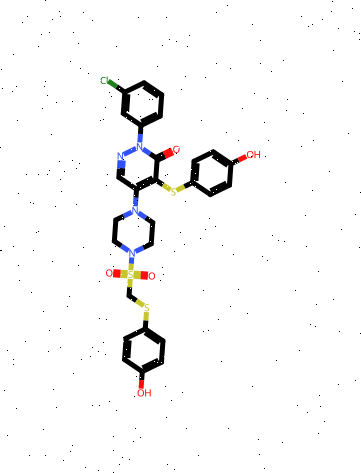 O=c1c(Sc2ccc(O)cc2)c(N2CCN(S(=O)(=O)CSc3ccc(O)cc3)CC2)cnn1-c1cccc(Cl)c1